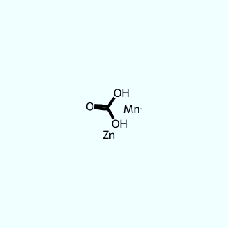 O=C(O)O.[Mn].[Zn]